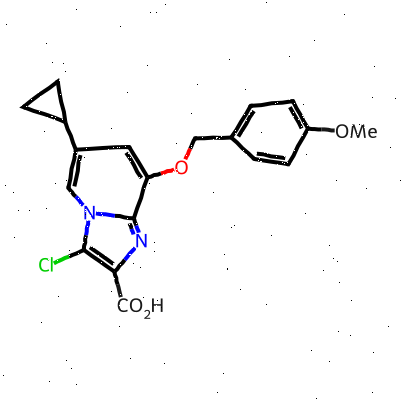 COc1ccc(COc2cc(C3CC3)cn3c(Cl)c(C(=O)O)nc23)cc1